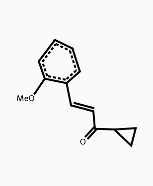 COc1ccccc1C=CC(=O)C1CC1